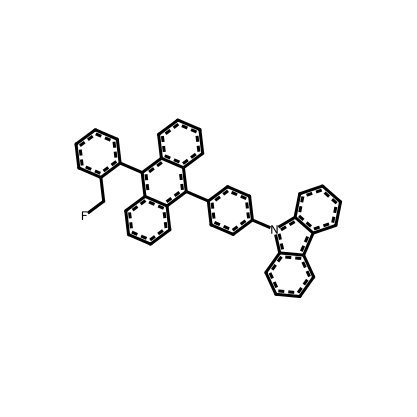 FCc1ccccc1-c1c2ccccc2c(-c2ccc(-n3c4ccccc4c4ccccc43)cc2)c2ccccc12